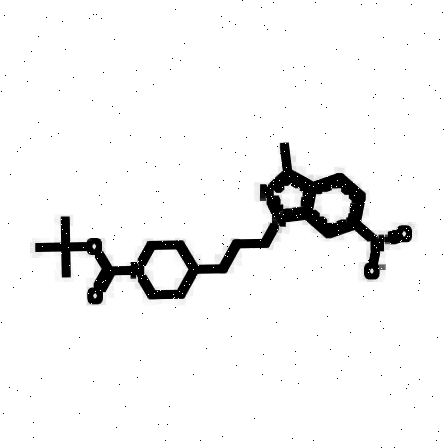 Cc1nn(CCCC2CCN(C(=O)OC(C)(C)C)CC2)c2cc([N+](=O)[O-])ccc12